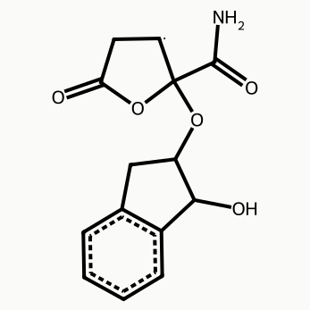 NC(=O)C1(OC2Cc3ccccc3C2O)[CH]CC(=O)O1